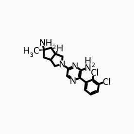 C[C@]1(N)CC2CN(c3cnc(-c4cccc(Cl)c4Cl)c(N)n3)C[C@H]2C1